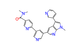 CN(C)C(=O)c1ccc(-c2cncc(-c3cnc4c(c3)c(-c3cccnc3)cn4C)c2)nc1